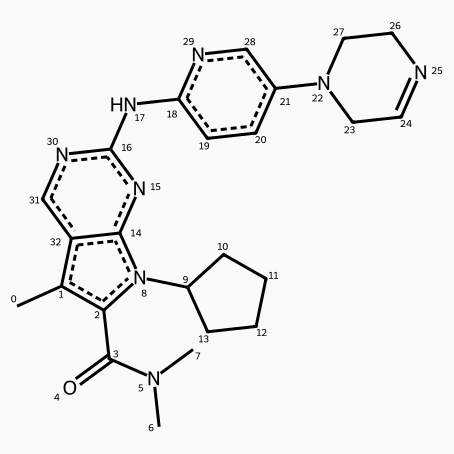 Cc1c(C(=O)N(C)C)n(C2CCCC2)c2nc(Nc3ccc(N4CC=NCC4)cn3)ncc12